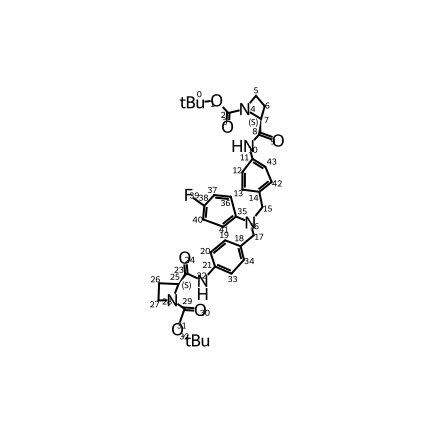 CC(C)(C)OC(=O)N1CC[C@H]1C(=O)Nc1ccc(CN(Cc2ccc(NC(=O)[C@@H]3CCN3C(=O)OC(C)(C)C)cc2)c2ccc(F)cc2)cc1